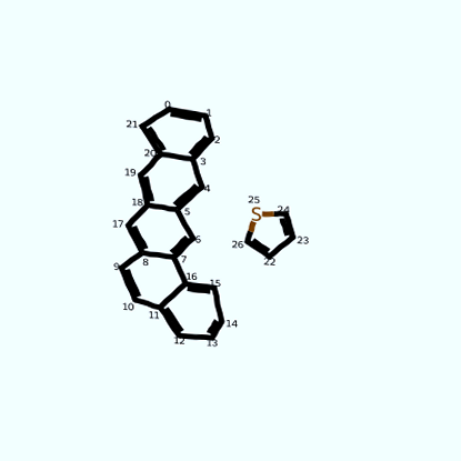 c1ccc2cc3cc4c(ccc5ccccc54)cc3cc2c1.c1ccsc1